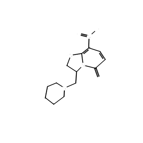 O=c1ccc([N+](=O)[O-])c2n1C(CN1CC[CH]CC1)CN2